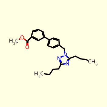 CCCCc1nc(CCCC)n(Cc2ccc(-c3cccc(C(=O)OC)c3)cc2)n1